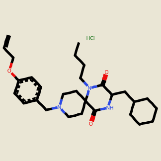 C=CCOc1ccc(CN2CCC3(CC2)C(=O)NC(CC2CCCCC2)C(=O)N3CCCC)cc1.Cl